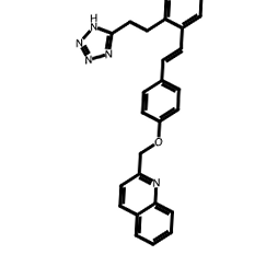 C(=Cc1ccccc1CCc1nnn[nH]1)c1ccc(OCc2ccc3ccccc3n2)cc1